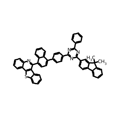 CC1(C)c2ccccc2-c2ccc(-c3nc(-c4ccccc4)nc(-c4ccc(-c5ccc(-c6nc7ccccc7c7sc8ccccc8c67)c6ccccc56)cc4)n3)cc21